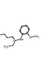 CCCC[C@H](CC)Nc1ccccc1OC